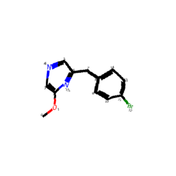 COc1cncc(Cc2ccc(Br)cc2)n1